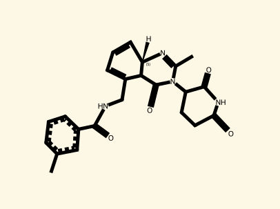 CC1=N[C@H]2C=CC=C(CNC(=O)c3cccc(C)c3)C2C(=O)N1C1CCC(=O)NC1=O